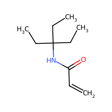 C=CC(=O)NC(CC)(CC)CC